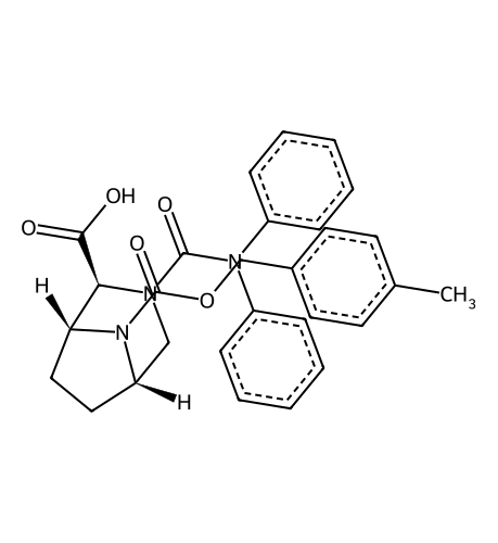 Cc1ccc(COC(=O)N2[C@H]3CC[C@@H]2[C@@H](C(=O)O)N(C(=O)N(c2ccccc2)c2ccccc2)C3)cc1